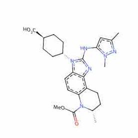 COC(=O)N1c2ccc3c(nc(Nc4cc(C)nn4C)n3[C@H]3CC[C@H](C(=O)O)CC3)c2CC[C@@H]1C